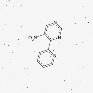 O=[N+]([O-])c1cn[c]nc1-c1ccccn1